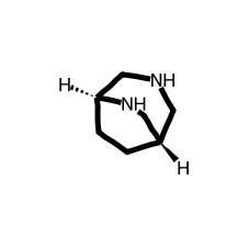 C1C[C@H]2CNC[C@H]1CN2